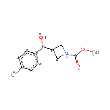 CC(C)(C)OC(=O)N1CC(C(O)c2ccc(Cl)cc2)C1